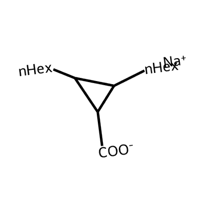 CCCCCCC1C(CCCCCC)C1C(=O)[O-].[Na+]